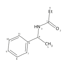 [CH2]CC(=O)NC(C)c1ccccc1